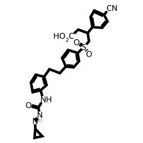 N#Cc1ccc(C(CC(=O)O)CS(=O)(=O)c2ccc(CCc3cccc(NC(=O)/N=N/C4CC4)c3)cc2)cc1